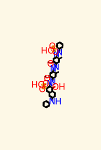 COc1cc(N=Nc2ccccc2S(=O)(=O)O)c(C)cc1N=Nc1cc(OC)c(N=Nc2c(S(=O)(=O)O)cc3cc(Nc4ccccc4)ccc3c2O)cc1C